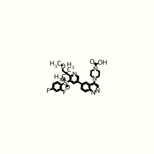 COCC(C)(C)c1ncc(-c2ccc3nncc(N4CCN(C(=O)O)CC4)c3c2)cc1S(=O)(=O)c1ccc(F)cc1F